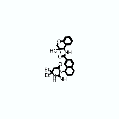 CCC1(CC)CC(=O)N(C2CCCc3ccc(C(=O)N[C@@H]4c5ccccc5OC[C@@]4(C)O)cc32)C(=N)N1